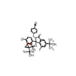 [2H]C([2H])(O)C1(C([2H])([2H])O[C@]2(c3ccc(Cl)cc3)c3c(F)cc(C(C)(C)O)cc3C(=O)N2Cc2ccc(C#N)cc2)CC1